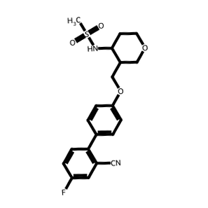 CS(=O)(=O)NC1CCOCC1COc1ccc(-c2ccc(F)cc2C#N)cc1